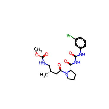 COC(=O)NC[C@@H](C)CC(=O)N1CCC[C@H]1C(=O)NC(=O)Nc1cccc(Br)c1